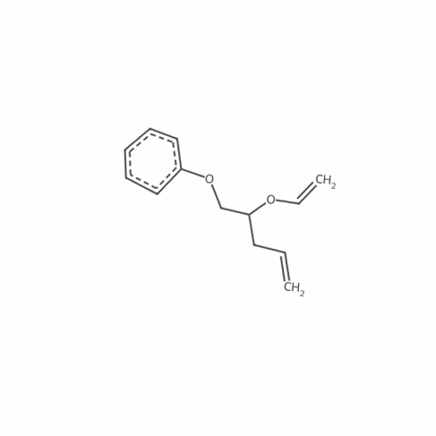 C=CCC(COc1ccccc1)OC=C